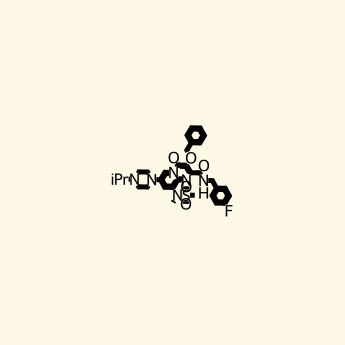 CC(C)N1CCN(c2cc(N(C)S(C)(=O)=O)c3nc(C(=O)NCc4ccc(F)cc4)c(OCc4ccccc4)c(=O)n3c2)CC1